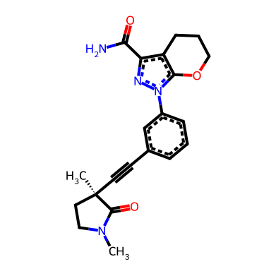 CN1CC[C@@](C)(C#Cc2cccc(-n3nc(C(N)=O)c4c3OCCC4)c2)C1=O